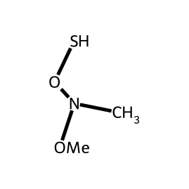 CON(C)OS